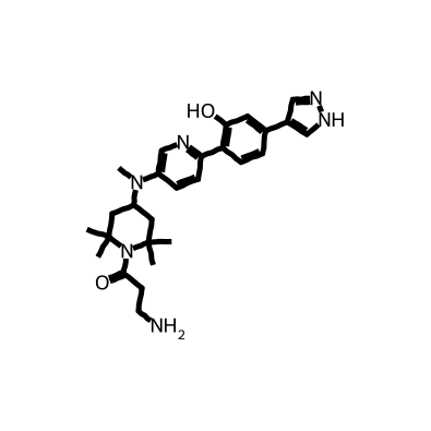 CN(c1ccc(-c2ccc(-c3cn[nH]c3)cc2O)nc1)C1CC(C)(C)N(C(=O)CCN)C(C)(C)C1